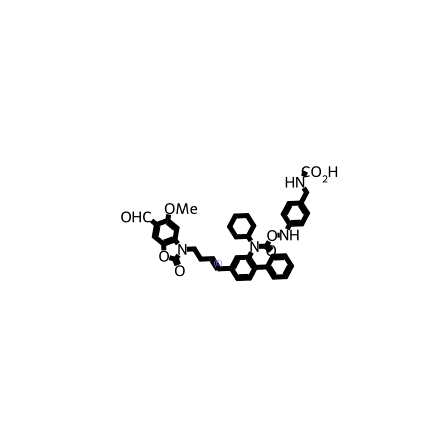 COc1cc2c(cc1C=O)oc(=O)n2CC/C=C/c1ccc(-c2ccccc2)c(N(C(=O)ONc2ccc(CNC(=O)O)cc2)C2CCCCC2)c1